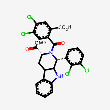 COC(=O)[C@H]1CC2c3ccccc3NC2[C@@H](c2cccc(Cl)c2Cl)N1C(=O)c1cc(Cl)c(Cl)cc1C(=O)O